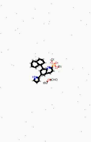 CC(C)(C)OC=O.CCOP(=O)(OCC)c1ccc2cc(-c3ccc[nH]3)cc(-c3cccc4ccccc34)c2n1